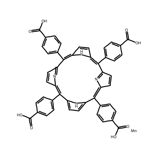 O=C(O)c1ccc(-c2c3nc(c(-c4ccc(C(=O)O)cc4)c4ccc([nH]4)c(-c4ccc(C(=O)O)cc4)c4nc(c(-c5ccc(C(=O)O)cc5)c5ccc2[nH]5)C=C4)C=C3)cc1.[Mn]